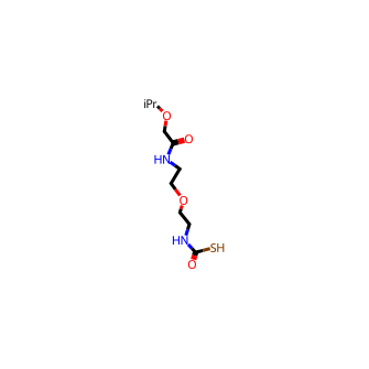 CC(C)OCC(=O)NCCOCCNC(=O)S